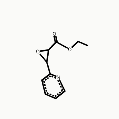 CCOC(=O)C1OC1c1ccccn1